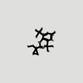 CCC1(C(=O)Oc2c(C(C)(C)C)cc(C)cc2C(C)(C)C)CC1